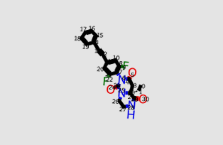 CC[C@@]12CC(=O)N(c3c(F)cc(C#Cc4ccccc4)cc3F)C(=O)N1CCNC2=O